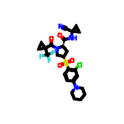 N#CC1(NC(=O)[C@@H]2C[C@@H](S(=O)(=O)c3ccc(N4CCCCC4)cc3Cl)CN2C(=O)C2(C(F)(F)F)CC2)CC1